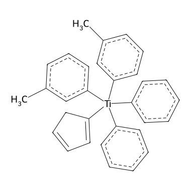 Cc1ccc[c]([Ti]([C]2=CC=CC2)([c]2ccccc2)([c]2ccccc2)[c]2cccc(C)c2)c1